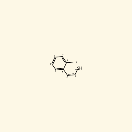 S/C=C\c1ccccc1I